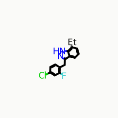 CCc1cccc2c(Cc3ccc(Cl)cc3F)n[nH]c12